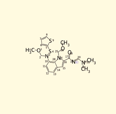 COCN(Sc1cccs1)c1cccc2cc(C(=O)/N=C/N(C)C)n(COC)c12